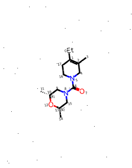 CCC1=C(C)CN(C(=O)N2C[C@@H](C)O[C@H](C)C2)CC1